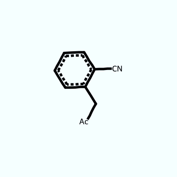 CC(=O)Cc1ccccc1C#N